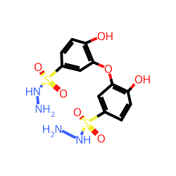 NNS(=O)(=O)c1ccc(O)c(Oc2cc(S(=O)(=O)NN)ccc2O)c1